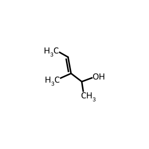 C/C=C(\C)C(C)O